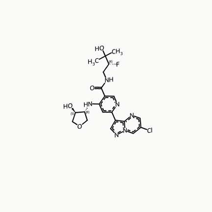 CC(C)(O)[C@H](F)CNC(=O)c1cnc(-c2cnn3cc(Cl)cnc23)cc1N[C@@H]1COC[C@H]1O